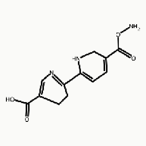 NOC(=O)C1=CC=C(C2=NC=C(C(=O)O)CC2)NC1